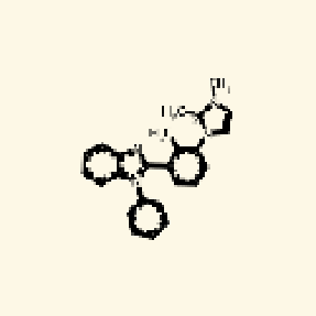 Cc1c(-c2nc3ccccc3n2-c2ccccc2)cccc1N1C=CN(C)[C@@H]1C